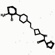 Cc1cccc(N2CCN(CC[C@H]3C[C@H](NC(=O)c4nccs4)C3)CC2)c1Cl